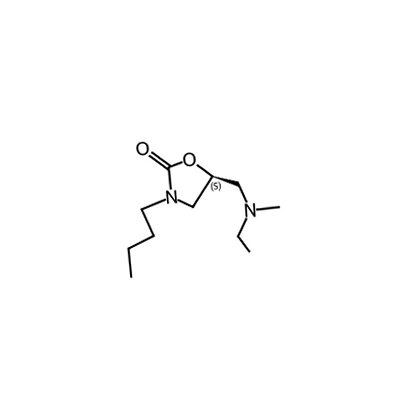 CCCCN1C[C@H](CN(C)CC)OC1=O